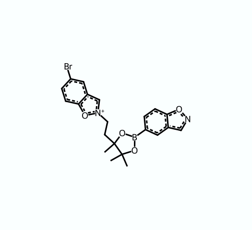 CC1(C)OB(c2ccc3oncc3c2)OC1(C)CC[n+]1cc2cc(Br)ccc2o1